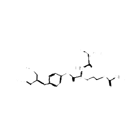 COCC(=Cc1ccc(NC(=O)[C@H](CCCNC(N)=O)NC(=O)[C@@H](NC(C)=O)C(C)C)cc1)COC